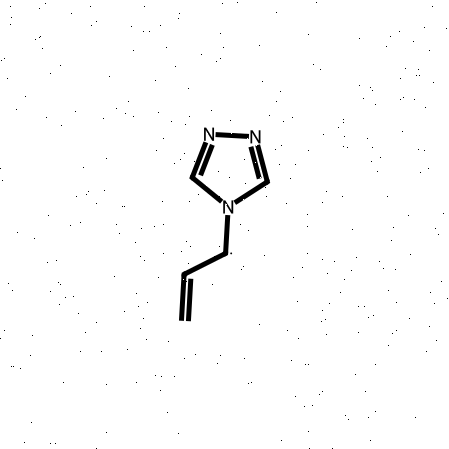 C=C[CH]n1cnnc1